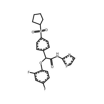 O=C(Nc1n[c]cs1)C(Oc1ccc(F)cc1F)c1ccc(S(=O)(=O)C2CCCC2)cc1